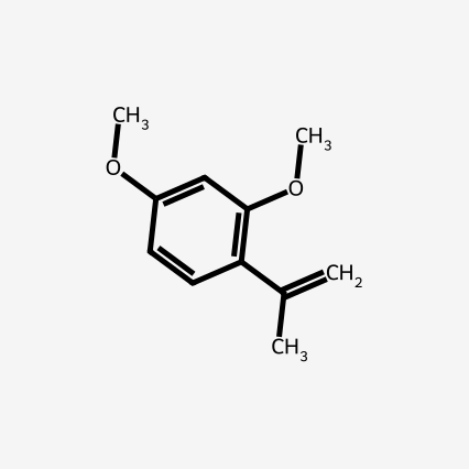 C=C(C)c1ccc(OC)cc1OC